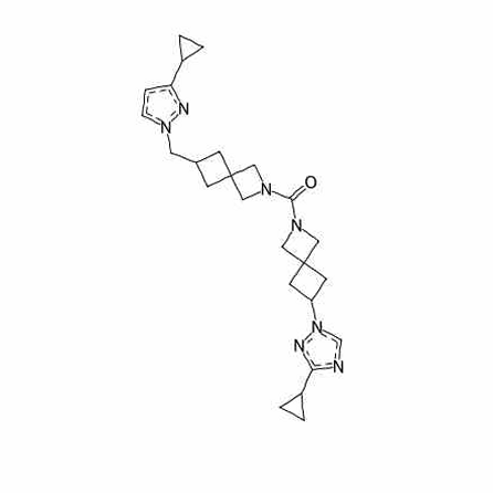 O=C(N1CC2(CC(Cn3ccc(C4CC4)n3)C2)C1)N1CC2(CC(n3cnc(C4CC4)n3)C2)C1